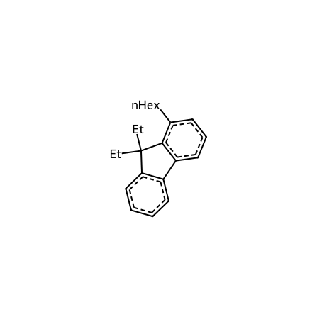 CCCCCCc1cccc2c1C(CC)(CC)c1ccccc1-2